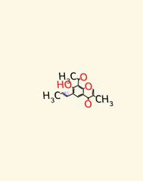 C/C=C/c1cc2c(=O)c(C)coc2c(C(C)=O)c1O